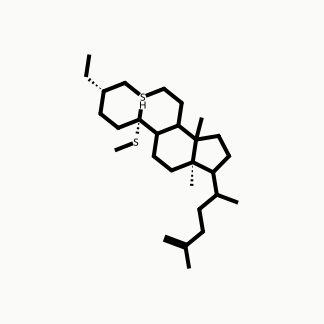 C=C(C)CCC(C)C1CCC2(C)C3CC[SH]4C[C@@H](CC)CC[C@]4(SC)C3CC[C@]12C